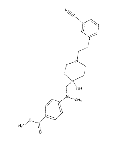 COC(=O)c1ccc(N(C)CC2(O)CCN(CCc3cccc(C#N)c3)CC2)cc1